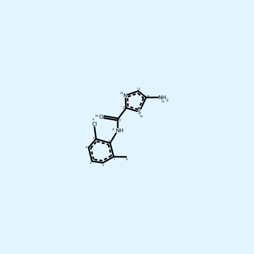 Cc1cccc(Cl)c1NC(=O)c1ncc(N)s1